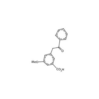 COc1cc(CC(=O)c2ccccc2)cc(C(=O)O)c1